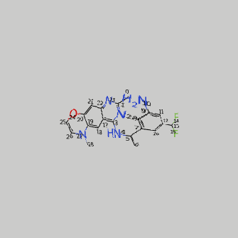 Cc1nc(NC(C)c2cc(N)cc(C(F)F)c2)c2cc3c(cc2n1)OC=CN3C